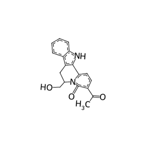 CC(=O)c1ccc2n(c1=O)C(CO)Cc1c-2[nH]c2ccccc12